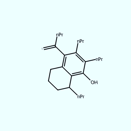 [C]=C(CCC)c1c(CCC)c(CCC)c(O)c2c1CCCC2CCC